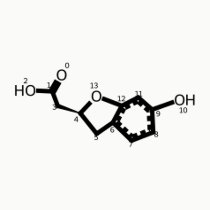 O=C(O)C[C@@H]1Cc2ccc(O)cc2O1